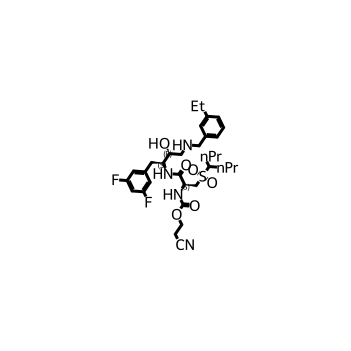 CCCC(CCC)S(=O)(=O)C[C@@H](NC(=O)OCCC#N)C(=O)N[C@@H](Cc1cc(F)cc(F)c1)[C@H](O)CNCc1cccc(CC)c1